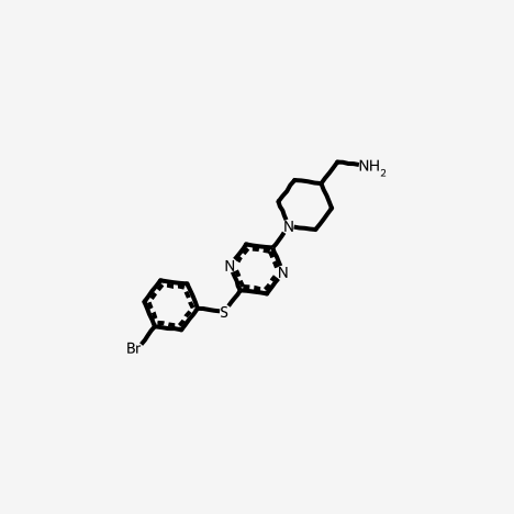 NCC1CCN(c2cnc(Sc3cccc(Br)c3)cn2)CC1